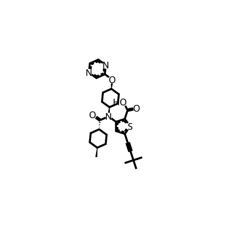 CC(C)(C)C#Cc1cc(N(C(=O)[C@H]2CC[C@H](C)CC2)[C@H]2CC[C@@H](Oc3cnccn3)CC2)c(C(=O)O)s1